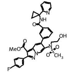 COC(=O)c1c(-c2ccc(F)cc2)nn2cc(N(CCO)S(C)(=O)=O)c(-c3cccc(C(=O)NC4(c5ccccn5)CC4)c3)cc12